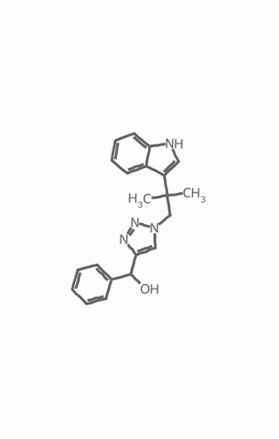 CC(C)(Cn1cc(C(O)c2ccccc2)nn1)c1c[nH]c2ccccc12